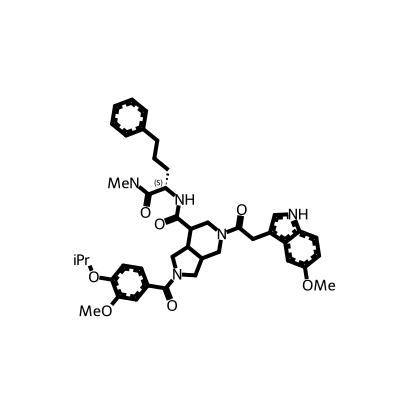 CNC(=O)[C@H](CCCc1ccccc1)NC(=O)C1CN(C(=O)Cc2c[nH]c3ccc(OC)cc23)CC2CN(C(=O)c3ccc(OC(C)C)c(OC)c3)CC21